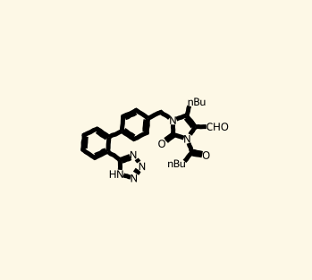 CCCCC(=O)n1c(C=O)c(CCCC)n(Cc2ccc(-c3ccccc3-c3nnn[nH]3)cc2)c1=O